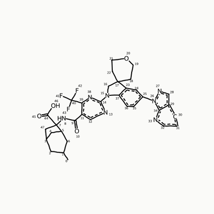 CC1CC2CC(C1)C(NC(=O)c1cnc(N3CC4(CCOCC4)c4cc(-n5ncc6cccnc65)ccc43)nc1C(F)(F)F)(C(=O)O)C2